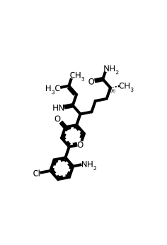 CC(C)=CC(=N)C(CCC[C@@H](C)C(N)=O)c1coc(-c2cc(Cl)ccc2N)cc1=O